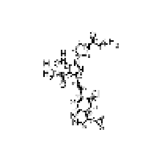 C=CC(=O)N1CC[C@H](n2nc(C#Cc3cc4nncc(C5CC5)c4cc3Cl)c(C(N)=O)c2NC)C1